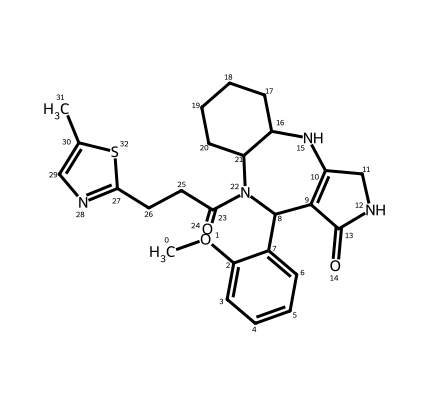 COc1ccccc1C1C2=C(CNC2=O)NC2CCCCC2N1C(=O)CCc1ncc(C)s1